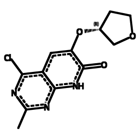 Cc1nc(Cl)c2cc(O[C@@H]3CCOC3)c(=O)[nH]c2n1